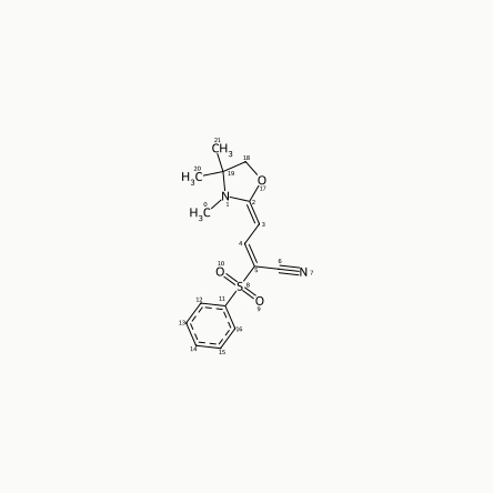 CN1C(=CC=C(C#N)S(=O)(=O)c2ccccc2)OCC1(C)C